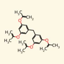 C=C(C)Oc1cc(Cc2cc(OC(=C)C)cc(OC(=C)C)c2)cc(OC(=C)C)c1